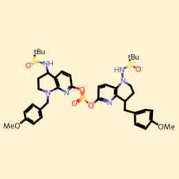 COc1ccc(CC2CCN(N[S+]([O-])C(C)(C)C)c3ccc(O[PH](=O)Oc4ccc5c(n4)N(Cc4ccc(OC)cc4)CCC5N[S+]([O-])C(C)(C)C)nc32)cc1